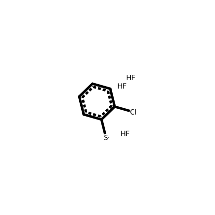 F.F.F.[S]c1ccccc1Cl